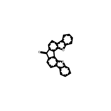 O=C1c2ccc3c(oc4ccccc43)c2-c2c1ccc1c2sc2ccccc21